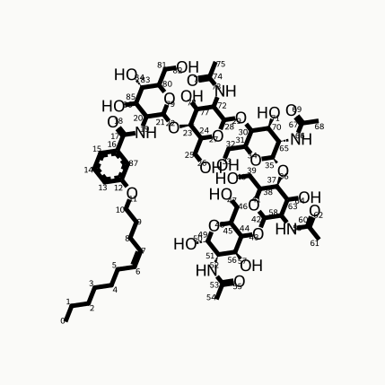 CCCCCC/C=C\CCCOc1cccc(C(=O)NC2C(O[C@@H]3C(CO)OC(OC4C(CO)O[C@@H](O[C@@H]5C(CO)OC(OC6C(CO)O[C@@H](O)[C@@H](NC(C)=O)[C@@H]6O)C(NC(C)=O)C5O)[C@@H](NC(C)=O)[C@@H]4O)C(NC(C)=O)C3O)OC(CO)[C@@H](O)C2O)c1